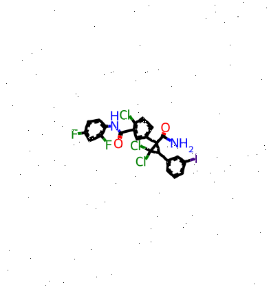 NC(=O)C1(c2ccc(Cl)c(C(=O)Nc3ccc(F)cc3F)c2)C(c2cccc(I)c2)C1(Cl)Cl